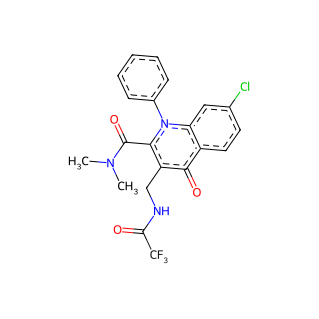 CN(C)C(=O)c1c(CNC(=O)C(F)(F)F)c(=O)c2ccc(Cl)cc2n1-c1ccccc1